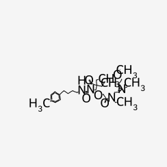 CCN(CCOC)CCN(CC)C(=O)COC1N(C(=O)NCCCCc2ccc(C)cc2)C(=O)C1(CC)CC